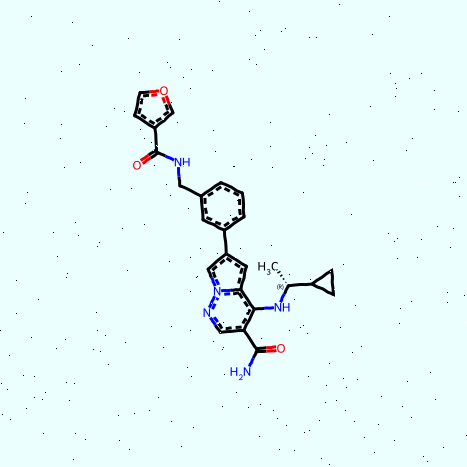 C[C@@H](Nc1c(C(N)=O)cnn2cc(-c3cccc(CNC(=O)c4ccoc4)c3)cc12)C1CC1